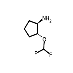 N[C@@H]1CCC[C@H]1OC(F)F